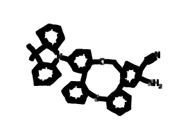 CC1(C)c2ccccc2N(c2ccc3c(c2)-c2ccccc2Sc2ccccc2-c2cc(N)c(C#N)cc2CC3)c2ccccc21